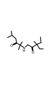 CCC(C)(CC)C(=O)CNC(C)(C)C(=O)CC(C)C